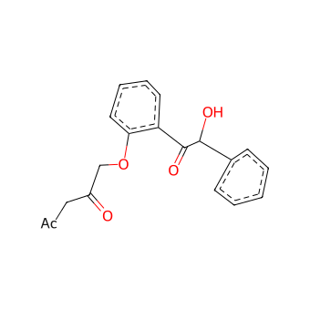 CC(=O)CC(=O)COc1ccccc1C(=O)C(O)c1ccccc1